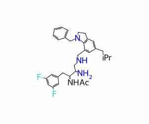 CC(=O)N[C@@H](Cc1cc(F)cc(F)c1)[C@H](N)CNCc1cc(CC(C)C)cc2c1N(Cc1ccccc1)CC2